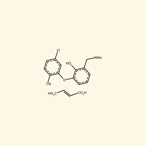 CNCc1cccc(Oc2cc(Cl)ccc2C#N)c1O.O=C(O)C=CC(=O)O